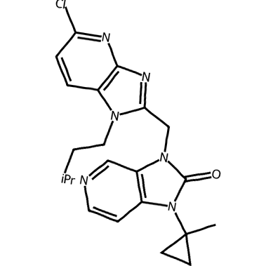 CC(C)CCn1c(Cn2c(=O)n(C3(C)CC3)c3ccncc32)nc2nc(Cl)ccc21